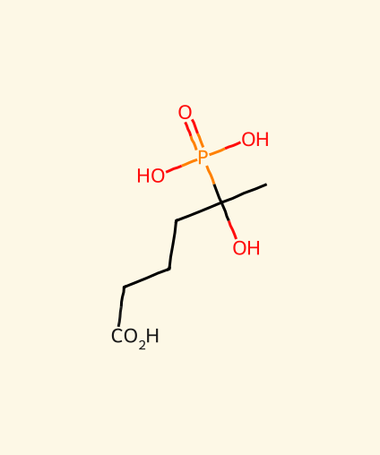 CC(O)(CCCC(=O)O)P(=O)(O)O